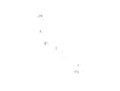 CC(C)NC(=O)CCCC1CCC2C3CCC4CC(NCCCNCCCCN)CCC4(C)C3CCC12C